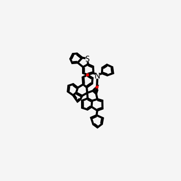 c1ccc(-c2ccc3c4c(cccc24)C2(c4ccccc4-c4cccc5cccc2c45)c2cc(N(c4ccccc4)c4ccc5c(c4)sc4ccccc45)ccc2-3)cc1